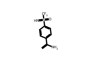 C=C(N)c1ccc(S(=N)(=O)C(F)(F)F)cc1